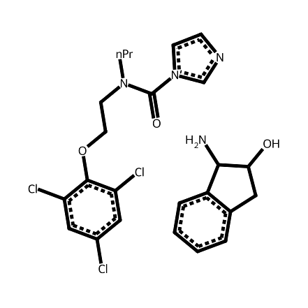 CCCN(CCOc1c(Cl)cc(Cl)cc1Cl)C(=O)n1ccnc1.NC1c2ccccc2CC1O